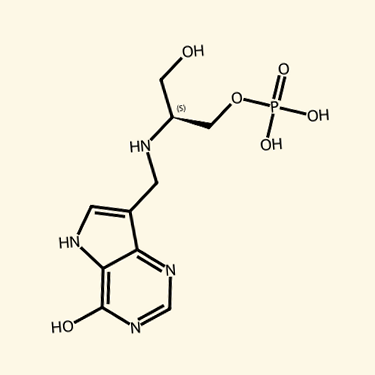 O=P(O)(O)OC[C@H](CO)NCc1c[nH]c2c(O)ncnc12